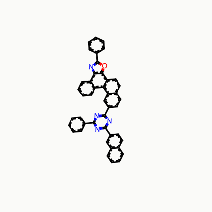 c1ccc(-c2nc(-c3ccc4ccccc4c3)nc(-c3ccc4ccc5c6oc(-c7ccccc7)nc6c6ccccc6c5c4c3)n2)cc1